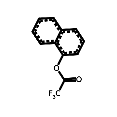 O=C(Oc1cccc2ccccc12)C(F)(F)F